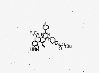 C=Cc1cc2c(N3CCC4(CC3)CN(C(=O)OC(C)(C)C)C4)nc(C3CCN(C)CC3)nc2c(OCC(F)(F)F)c1-c1c(C)ccc2[nH]ncc12